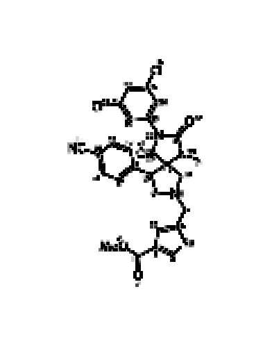 COC(=O)c1csc(CN2CC(c3ccc(C#N)cc3)C3(C2)C(=O)N(c2cc(Cl)cc(Cl)c2)C(=O)N3C)c1